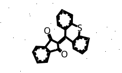 O=C1C(=C2c3ccccc3Sc3ccccc32)C(=O)c2ccccc21